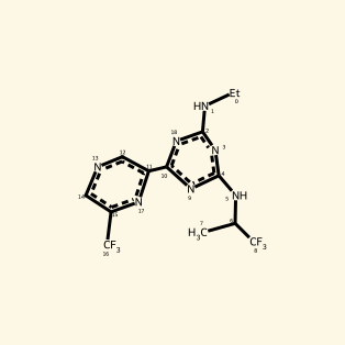 CCNc1nc(NC(C)C(F)(F)F)nc(-c2cncc(C(F)(F)F)n2)n1